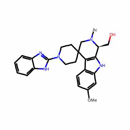 COc1ccc2c3c([nH]c2c1)[C@H](CO)N(C(C)=O)CC31CCN(c2nc3ccccc3[nH]2)CC1